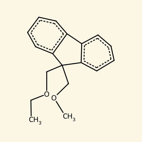 CCOCC1(COC)c2ccccc2-c2ccccc21